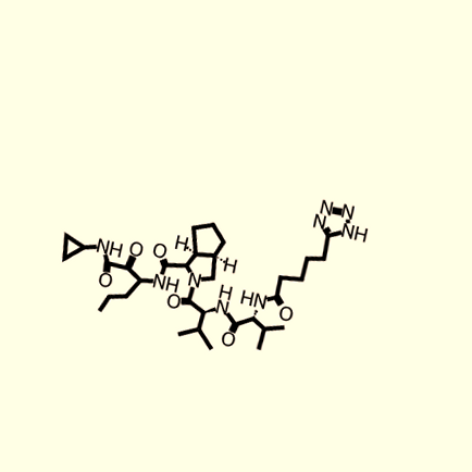 CCCC(NC(=O)C1[C@H]2CCC[C@H]2CN1C(=O)[C@@H](NC(=O)[C@H](NC(=O)CCCCc1nnn[nH]1)C(C)C)C(C)C)C(=O)C(=O)NC1CC1